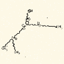 CCCCCCCCCCCOC(=O)CCCCCN1CC(OC(=O)CCCn2ccnc2)C[C@H]1CC(=O)OCCCCCCCC(=O)OC(CCCCCCCC)CCCCCCCC